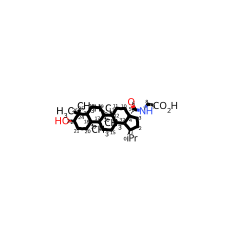 CC(C)[C@@H]1CC[C@]2(C(=O)NCC(=O)O)CC[C@]3(C)C(CCC4[C@@]5(C)CC[C@@H](O)C(C)(C)C5CC[C@]43C)C12